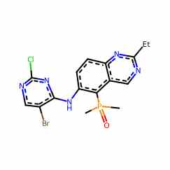 CCc1ncc2c(P(C)(C)=O)c(Nc3nc(Cl)ncc3Br)ccc2n1